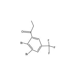 CCC(=O)c1cc(C(F)(F)F)cc(Br)c1Br